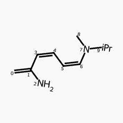 C=C(N)/C=C\C=C/N(C)C(C)C